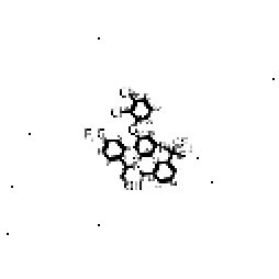 OCC(c1ccc(C(F)(F)F)cc1)N(Cc1cccc(C(F)(F)C(F)(F)F)c1)c1cccc(Oc2cccc(Cl)c2Cl)c1